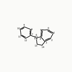 [c]1ccc2c(c1)N(c1ccccc1)CC2